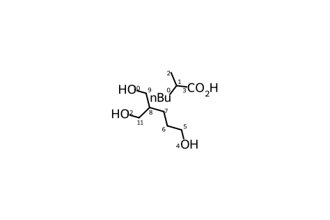 CCCCC(C)C(=O)O.OCCCC(CO)CO